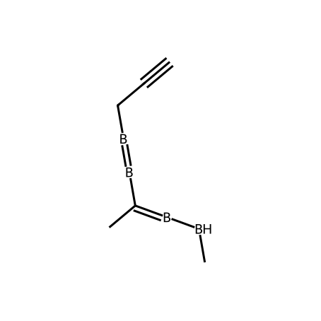 C#CC/B=B\C(C)=B/BC